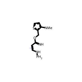 CNc1ccsc1COC(=N)/C=C\NP